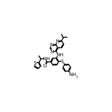 CC(C)c1ccc2c(Nc3cc(C(=O)NC(C)c4cccs4)ccc3Sc3ccc(N)cc3)ncnc2n1